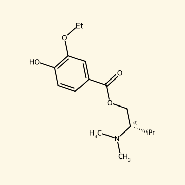 CCOc1cc(C(=O)OC[C@H](C(C)C)N(C)C)ccc1O